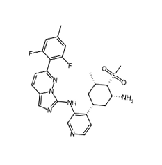 Cc1cc(F)c(-c2ccc3cnc(Nc4cnccc4[C@H]4C[C@@H](N)[C@@H](S(C)(=O)=O)[C@@H](C)C4)n3n2)c(F)c1